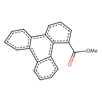 COC(=O)c1cccc2c3ccccc3c3ccccc3c12